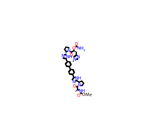 COC(=O)N[C@@H](C)C(=O)N1CCCC1c1ncc(-c2ccc(-c3ccc(-c4cnc([C@@H]5CCCN5C(=O)[C@H](Cc5cn(C)cn5)OC(N)=O)[nH]4)cc3)cc2)[nH]1